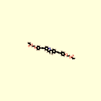 C=CC(=O)OCCOc1ccc(C#Cc2ccc(-c3nc4ccc(C#Cc5ccc(OCCOC(=O)C=C)cc5)cc4cc3C)c(C)c2)cc1